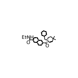 CCNC(=O)c1ccc2cc(C(=O)S3(Cc4ccccc4)C=CC(C)(C)CC3)ccc2c1